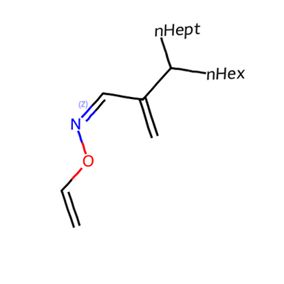 C=CO/N=C\C(=C)C(CCCCCC)CCCCCCC